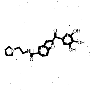 O=C(NCCN1CCCC1)c1ccc2oc(C(=O)c3cc(O)c(O)c(O)c3)cc2c1